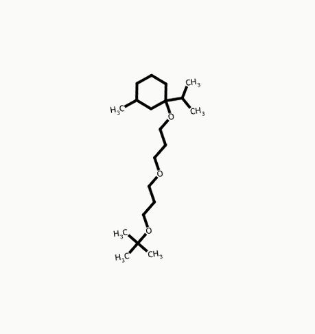 CC1CCCC(OCCCOCCCOC(C)(C)C)(C(C)C)C1